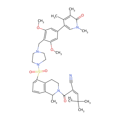 COc1cc(-c2cn(C)c(=O)c(C)c2C)cc(OC)c1CN1CCN(S(=O)(=O)c2cccc3c2CCN(C(=O)/C(C#N)=C\C(C)(C)C)C3C)CC1